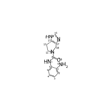 Nc1ccccc1NC(=O)N1CCc2[nH]cnc2C1